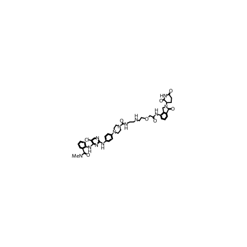 CNC(=O)c1ccccc1Nc1nc(Nc2ccc(N3CCN(C(=O)NCCNCCOCC(=O)Nc4cccc5c4CN(C4CCC(=O)NC4=O)C5=O)CC3)cc2)ncc1Cl